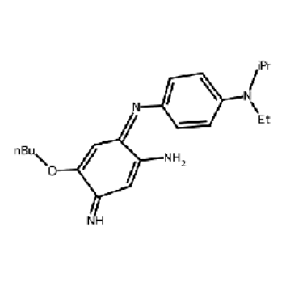 CCCCOC1=CC(=Nc2ccc(N(CC)C(C)C)cc2)C(N)=CC1=N